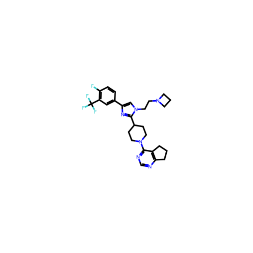 Fc1ccc(-c2cn(CCN3CCC3)c(C3CCN(c4ncnc5c4CCC5)CC3)n2)cc1C(F)(F)F